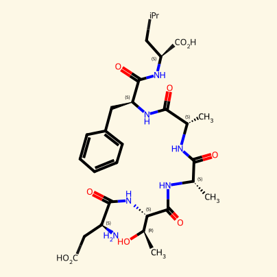 CC(C)C[C@H](NC(=O)[C@H](Cc1ccccc1)NC(=O)[C@H](C)NC(=O)[C@H](C)NC(=O)[C@@H](NC(=O)[C@@H](N)CC(=O)O)[C@@H](C)O)C(=O)O